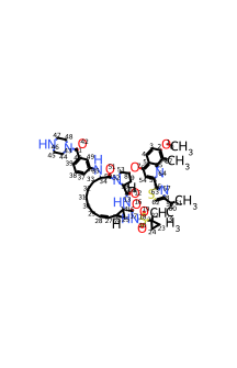 COc1ccc2c(O[C@@H]3C[C@H]4C(=O)N[C@]5(C(=O)NS(=O)(=O)C6(C)CC6)C[C@H]5/C=C\CCCCC[C@H](Nc5cccc(C(=O)N6CCNCC6)c5)C(=O)N4C3)cc(-c3nc(C(C)C)cs3)nc2c1C